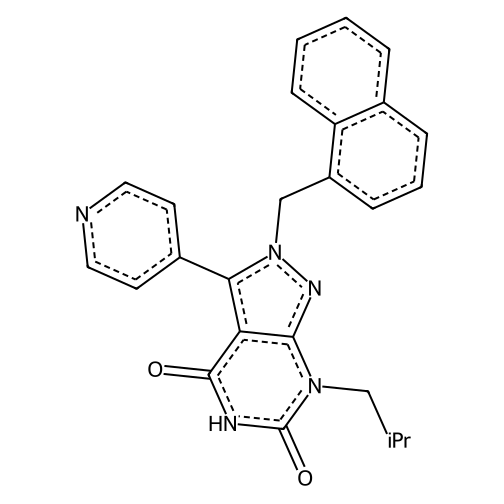 CC(C)Cn1c(=O)[nH]c(=O)c2c(-c3ccncc3)n(Cc3cccc4ccccc34)nc21